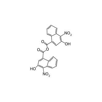 O=C(OC(=O)c1cc(O)c([N+](=O)[O-])c2ccccc12)c1cc(O)c([N+](=O)[O-])c2ccccc12